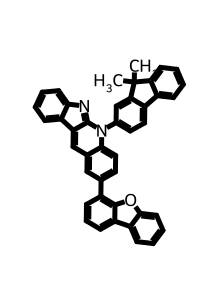 CC1(C)c2ccccc2-c2ccc(-n3c4nc5ccccc5c-4cc4cc(-c5cccc6c5oc5ccccc56)ccc43)cc21